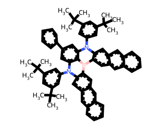 CC(C)(C)c1cc(N2c3cc4cc5ccccc5cc4cc3B3c4cc5cc6ccccc6cc5cc4N(c4cc(C(C)(C)C)cc(C(C)(C)C)c4)c4cc(-c5ccccc5)cc2c43)cc(C(C)(C)C)c1